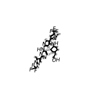 Cc1nn(CC(F)(F)F)cc1-c1nccc(Nc2cc(NC3CCC(CCO)CC3)c(-c3cc(C(F)(F)F)n(C)n3)cn2)n1